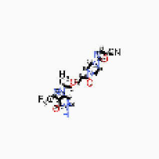 CC(COCCC(=O)N1CCN(c2ncc(C#N)o2)CC1)n1nc(C(F)(F)F)c2c(=O)[nH]ncc21